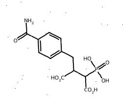 NC(=O)c1ccc(CC(C(=O)O)C(C(=O)O)P(=O)(O)O)cc1